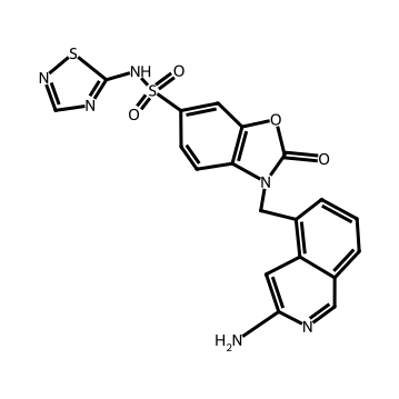 Nc1cc2c(Cn3c(=O)oc4cc(S(=O)(=O)Nc5ncns5)ccc43)cccc2cn1